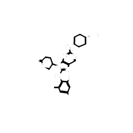 O=C1CCC(n2c(Nc3c(F)cc(F)cc3F)nc3cnc(N[C@H]4CC[C@H](O)CC4)nc32)CN1